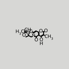 Cc1c(O)c2c(=O)n(CC3COC(C)(C)O3)c(C)cc2oc1=O